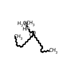 CCCCC/C=C\C/C=C\CCCCCCCCC1(CCCCCCCC/C=C\C/C=C\CCCCC)OCC(CCNCCN(C)C)O1